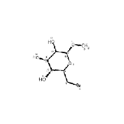 CO[C@H]1OC(CBr)[C@@H](O)[C@@H](O)C1O